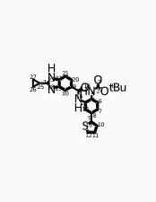 CC(C)(C)OC(=O)Nc1ccc(-c2cccs2)cc1NC(=O)c1ccc2[nH]c(C3CC3)nc2c1